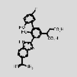 N=C(N)c1ccc2[nH]c(-c3cc(C(CC(=O)O)C(=O)O)cc(-c4cc(F)ccc4O)c3O)nc2c1